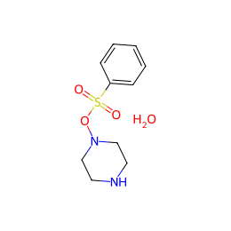 O.O=S(=O)(ON1CCNCC1)c1ccccc1